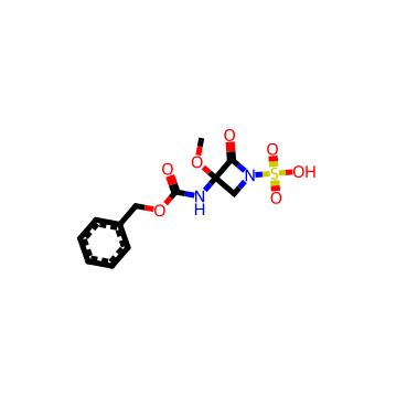 COC1(NC(=O)OCc2ccccc2)CN(S(=O)(=O)O)C1=O